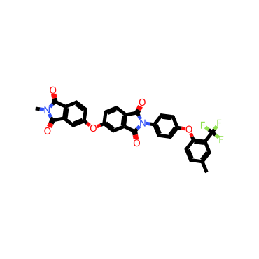 Cc1ccc(Oc2ccc(N3C(=O)c4ccc(Oc5ccc6c(c5)C(=O)N(C)C6=O)cc4C3=O)cc2)c(C(F)(F)F)c1